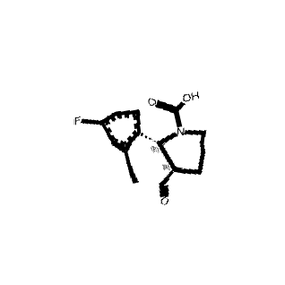 Cc1cc(F)ccc1[C@H]1[C@H](C=O)CCCN1C(=O)O